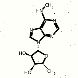 CNc1ncnc2c1ncn2[C@@H]1O[C@H](C)[C@@H](O)[C@H]1O